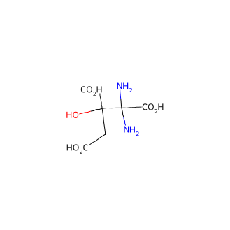 NC(N)([13C](=O)O)C(O)(CC(=O)O)C(=O)O